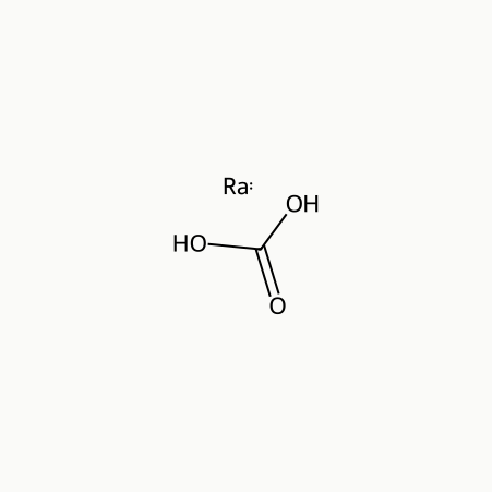 O=C(O)O.[Ra]